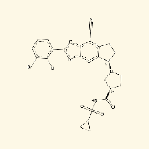 N#Cc1c2c(cc3nc(-c4cccc(Br)c4Cl)oc13)[C@H](N1CC[C@@H](C(=O)NS(=O)(=O)C3CC3)C1)CC2